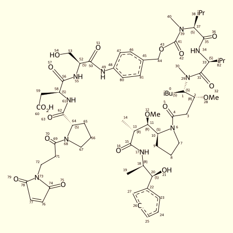 CC[C@H](C)[C@@H]([C@@H](CC(=O)N1CCC[C@H]1[C@H](OC)[C@@H](C)C(=O)N[C@H](C)[C@@H](O)c1ccccc1)OC)N(C)C(=O)[C@@H](NC(=O)[C@H](C(C)C)N(C)C(=O)OCc1ccc(NC(=O)[C@H](CO)NC(=O)[C@H](CC(=O)O)NC(=O)[C@@H]2CCCN2C(=O)CCN2C(=O)C=CC2=O)cc1)C(C)C